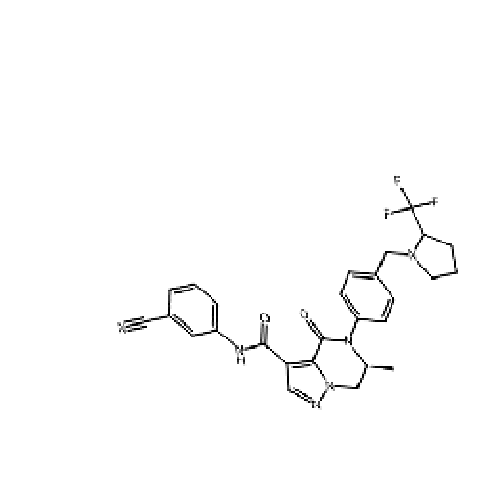 C[C@H]1Cn2ncc(C(=O)Nc3cccc(C#N)c3)c2C(=O)N1c1ccc(CN2CCCC2C(F)(F)F)cc1